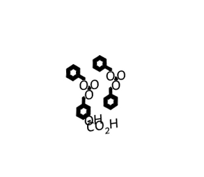 O=C(O)O.O=C(OCc1ccccc1)OCc1ccccc1.O=C(OCc1ccccc1)OCc1ccccc1